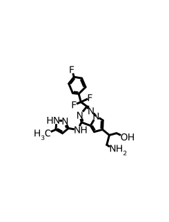 Cc1cc(Nc2nc(C(F)(F)c3ccc(F)cc3)nn3cc(C(CN)CO)cc23)n[nH]1